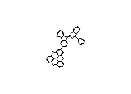 c1ccc(-c2nc(-n3c4ccccc4c4cc(-c5cc6c7c(c5)Sc5cccc8c5N7c5c(cccc5S6)S8)ccc43)nc3ccccc23)cc1